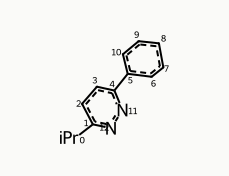 CC(C)c1ccc(-c2ccccc2)nn1